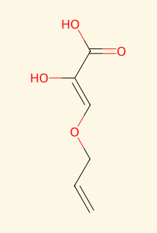 C=CCOC=C(O)C(=O)O